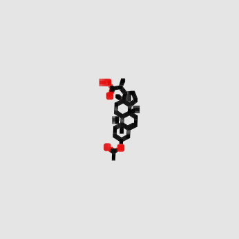 CC(=O)OC1CC[C@@]2(C)C(=CC[C@H]3[C@@H]4CC[C@H]([C@H](C)C(=O)O)[C@@]4(C)CC[C@@H]32)C1